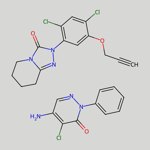 C#CCOc1cc(-n2nc3n(c2=O)CCCC3)c(Cl)cc1Cl.Nc1cnn(-c2ccccc2)c(=O)c1Cl